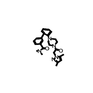 Cc1cc(C)n(CC(=O)N2CCN(c3ccccc3-c3cccc(C(=O)N(C)C)c3)CC2)n1